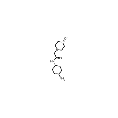 N[C@H]1CC[C@H](NC(=O)CN2CC[S+]([O-])CC2)CC1